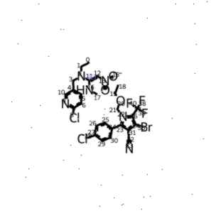 CCN(Cc1ccc(Cl)nc1)/C(=C/[N+](=O)[O-])NC.CCOCn1c(-c2ccc(Cl)cc2)c(C#N)c(Br)c1C(F)(F)F